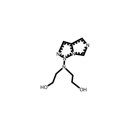 OCCN(CCO)n1ncc2cncn21